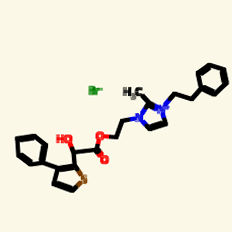 Cc1n(CCOC(=O)C(O)c2sccc2-c2ccccc2)cc[n+]1CCc1ccccc1.[Br-]